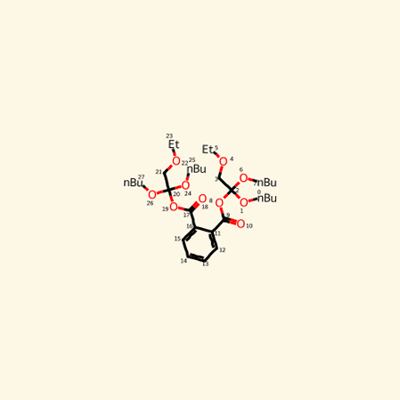 CCCCOC(COCC)(OCCCC)OC(=O)c1ccccc1C(=O)OC(COCC)(OCCCC)OCCCC